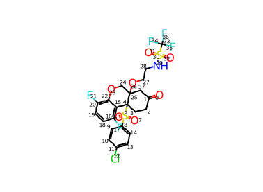 O=C1CCC2(S(=O)(=O)c3ccc(Cl)cc3)c3c(F)ccc(F)c3OCC2(OCCNS(=O)(=O)C(F)(F)F)C1